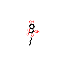 CCCCCOc1c(O)c2ccc(O)cc2oc1=O